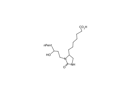 CCCCCC(O)CCN1C(=O)NCC1CCCCCCC(=O)O